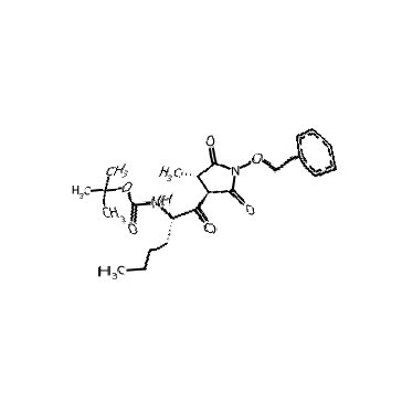 CCCC[C@H](NC(=O)OC(C)(C)C)C(=O)[C@@H]1C(=O)N(OCc2ccccc2)C(=O)[C@H]1C